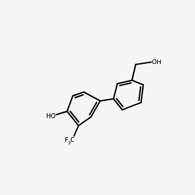 OCc1cccc(-c2ccc(O)c(C(F)(F)F)c2)c1